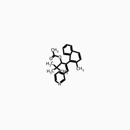 CC(=O)OC(/C(=C\c1cccnc1)c1c(C)ccc2ccccc12)C(C)(C)C